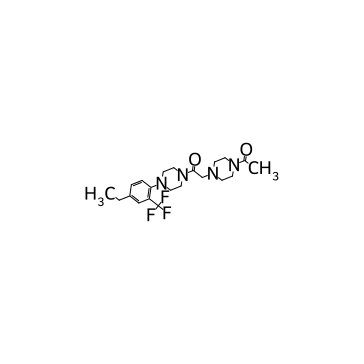 CCc1ccc(N2CCN(C(=O)CN3CCN(C(C)=O)CC3)CC2)c(C(F)(F)F)c1